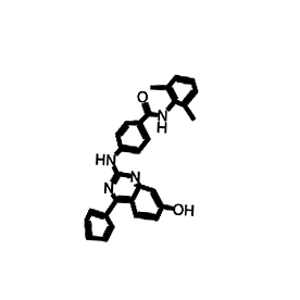 Cc1cccc(C)c1NC(=O)c1ccc(Nc2nc(-c3ccccc3)c3ccc(O)cc3n2)cc1